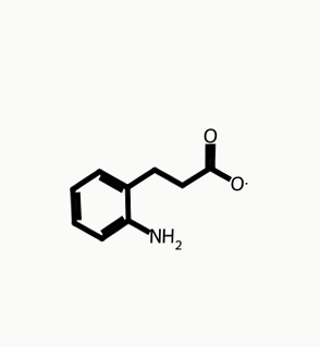 Nc1ccccc1CCC([O])=O